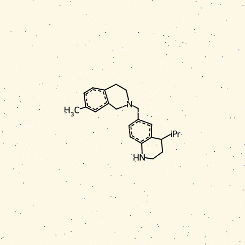 Cc1ccc2c(c1)CN(Cc1ccc3c(c1)C(C(C)C)CCN3)CC2